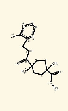 COC(=O)C1(C)CCC(C)(C(=O)NCc2nccnc2Cl)CC1